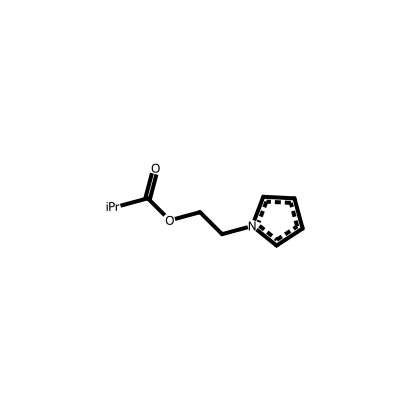 CC(C)C(=O)OCCn1cccc1